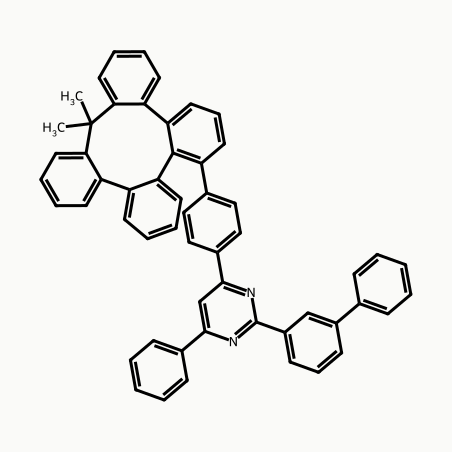 CC1(C)c2ccccc2-c2ccccc2-c2c(-c3ccc(-c4cc(-c5ccccc5)nc(-c5cccc(-c6ccccc6)c5)n4)cc3)cccc2-c2ccccc21